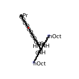 CCCCCCCC/C=C\CCCCCCCC(=O)NCCN(CCNC(=O)CCCCCCC/C=C\CCCCCCCC)CCNC(=O)CCOCCOCCOCCOCCOCCOCCOCCOCCOCCC